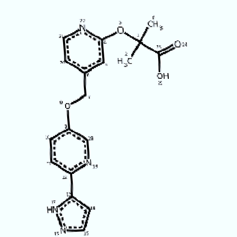 CC(C)(Oc1cc(COc2ccc(-c3ccn[nH]3)nc2)ccn1)C(=O)O